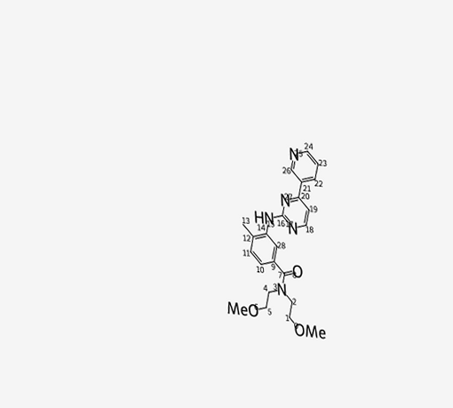 COCCN(CCOC)C(=O)c1ccc(C)c(Nc2nccc(-c3cccnc3)n2)c1